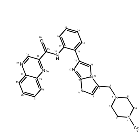 CC(=O)N1CCN(Cc2csc3nc(-c4ccccc4NC(=O)c4cnc5ccccc5n4)cn23)CC1